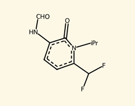 CC(C)n1c(C(F)F)ccc(NC=O)c1=O